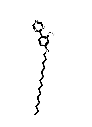 CCCCCCCCCCCCCCCOc1ccc(-c2ncncn2)c(O)c1